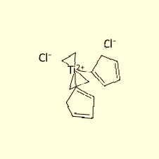 C1=CC[C]([Ti+2]23([C]4=CC=CC4)([CH2][CH2]2)[CH2][CH2]3)=C1.[Cl-].[Cl-]